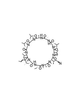 C/C=C/C[C@@H](C)C[C@H]1C(=O)N[C@@H](CC)C(=O)N(C)[C@H](C)C(=O)N(C)[C@@H]([C@H](C)CC#N)C(=O)NC(C(C)C)C(=O)N(C)[C@@H](CC(C)C)C(=O)N[C@@H](C)C(=O)N[C@H](C)C(=O)N(C)[C@@H](CC(C)C)C(=O)N(C)[C@@H](CC(C)C)C(=O)N(C)C(C(C)C)C(=O)N1C